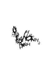 N[C@H]1CC[C@H](Nc2cc(NC3CNC3)c3ncc(C(=O)Nc4ccncc4)n3n2)CC1